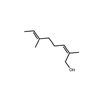 C/C=C(\C)CCC=C(C)CO